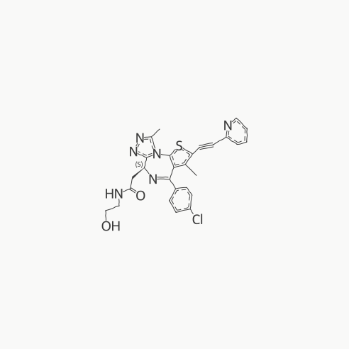 Cc1c(C#Cc2ccccn2)sc2c1C(c1ccc(Cl)cc1)=N[C@@H](CC(=O)NCCO)c1nnc(C)n1-2